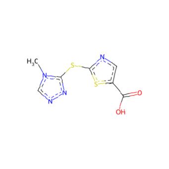 Cn1cnnc1Sc1ncc(C(=O)O)s1